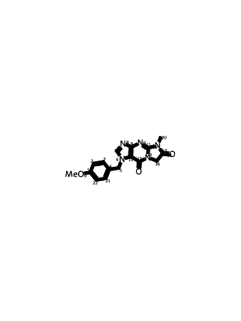 COc1ccc(Cn2cnc3nc4n(c(=O)c32)CC(=O)N4C)cc1